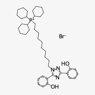 Oc1ccccc1-c1nc(-c2ccccc2O)n(CCCCCCCCCC[P+](C2CCCCC2)(C2CCCCC2)C2CCCCC2)n1.[Br-]